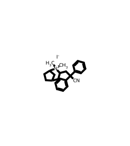 C[N+]1(C)C2CCC(C2)CC1CC(C#N)(c1ccccc1)c1ccccc1.[I-]